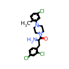 Cc1ccc(Cl)cc1N1CCN(C(=O)C(N)Cc2ccc(Cl)cc2Cl)CC1